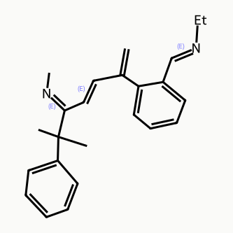 C=C(/C=C/C(=N\C)C(C)(C)c1ccccc1)c1ccccc1/C=N/CC